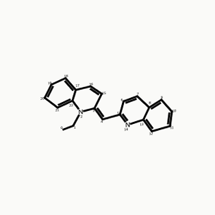 CCN1/C(=C/c2ccc3ccccc3n2)C=Cc2ccccc21